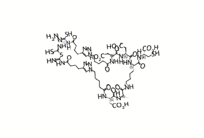 C[C@H](NC(=O)[C@H](CC(=O)O)NC(=O)CCCCn1cc(CCCC(=O)NC(=N)SC(=N)S)nn1)C(=O)NCCCC[C@H](NC(=O)[C@H](CC(=O)O)NC(=O)[C@H](CC(=O)O)NC(=O)CCCCn1cc(CCCC(=O)N/C(S)=N/N)nn1)C(=O)N[C@@H](CS)C(=O)O